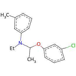 CCN(c1cccc(C)c1)C(C)Oc1cccc(Cl)c1